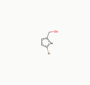 OCc1ccc(Br)[se]1